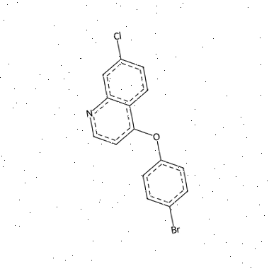 Clc1ccc2c(Oc3ccc(Br)cc3)ccnc2c1